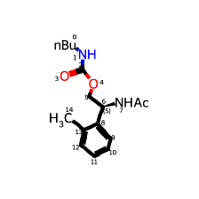 CCCCNC(=O)OC[C@@H](NC(C)=O)c1ccccc1C